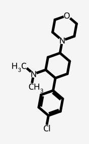 CN(C)C1CC(N2CCOCC2)CCC1c1ccc(Cl)cc1